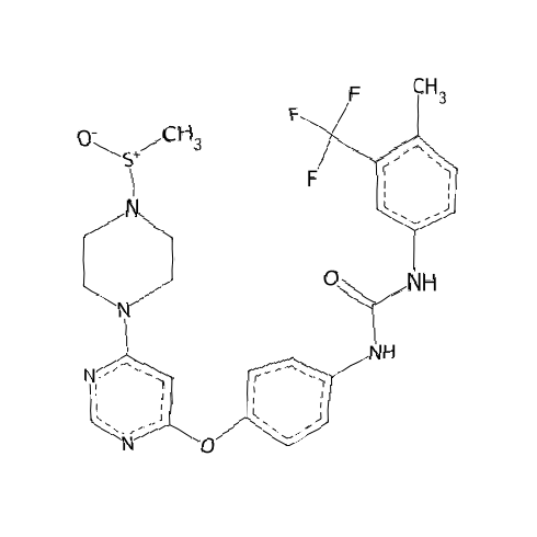 Cc1ccc(NC(=O)Nc2ccc(Oc3cc(N4CCN([S+](C)[O-])CC4)ncn3)cc2)cc1C(F)(F)F